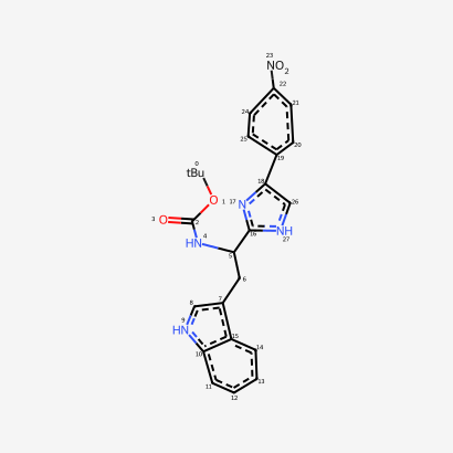 CC(C)(C)OC(=O)NC(Cc1c[nH]c2ccccc12)c1nc(-c2ccc([N+](=O)[O-])cc2)c[nH]1